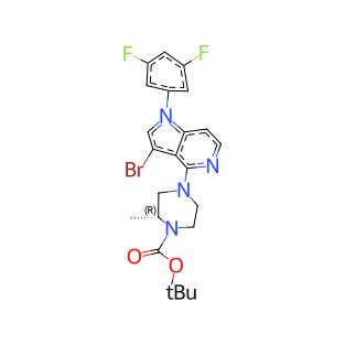 C[C@@H]1CN(c2nccc3c2c(Br)cn3-c2cc(F)cc(F)c2)CCN1C(=O)OC(C)(C)C